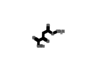 COC(=O)C(=O)CC(=O)OC(=O)O